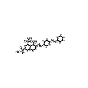 O=S(=O)(O)c1cc(S(=O)(=O)O)c2c(O)c(/N=N/c3ccc(/N=N/c4ccccc4)cc3)ccc2c1